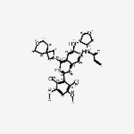 C=CC(=O)N[C@H]1COC[C@H]1Nc1cc2c(N3CC4(CCOCC4)C3)nc(-c3c(Cl)c(OC)cc(OC)c3Cl)nc2cn1